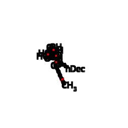 CC#CC#CC#CC#CC#CC(=O)OC[C@H](COP(=O)(O)OC1C(O)[C@@H](OP(=O)(O)O)C(O)[C@@H](OP(=O)(O)O)[C@H]1O)OC(=O)CCCCCCCCCCCCCCC